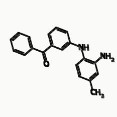 Cc1ccc(Nc2cccc(C(=O)c3ccccc3)c2)c(N)c1